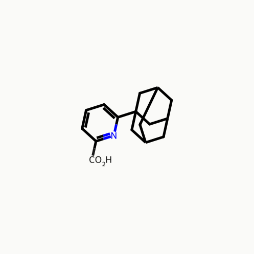 O=C(O)c1cccc(C23CC4CC(CC(C4)C2)C3)n1